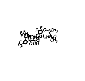 CC(=O)NCCN(C)CCOc1ccc(CN2C(=O)C(C(=O)Nc3ccc(C(F)(F)F)cc3-c3cc(C(F)(F)F)ncn3)=C(O)C3(CCC3)N2C)c(F)c1F